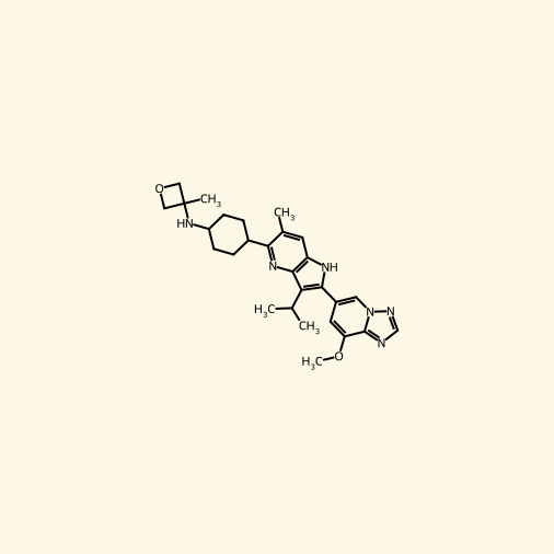 COc1cc(-c2[nH]c3cc(C)c(C4CCC(NC5(C)COC5)CC4)nc3c2C(C)C)cn2ncnc12